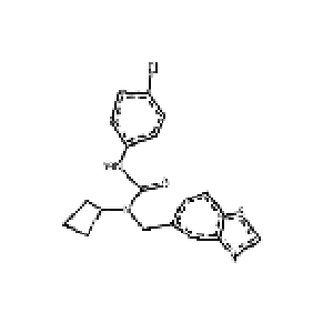 O=C(Nc1ccc(Cl)cc1)N(Cc1ccc2scnc2c1)C1CCC1